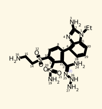 CCn1c(N)nc2c(-c3ccc(S(=O)(=O)CCN)c(S(N)(=O)=O)c3/C(N)=N/NN)cccc21